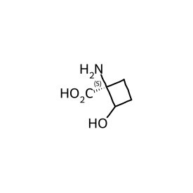 N[C@@]1(C(=O)O)CCC1O